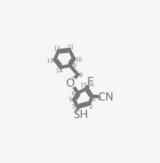 N#Cc1cc(S)cc(OCc2ccccc2)c1F